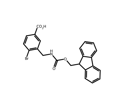 O=C(NCc1cc(C(=O)O)ccc1Br)OCC1c2ccccc2-c2ccccc21